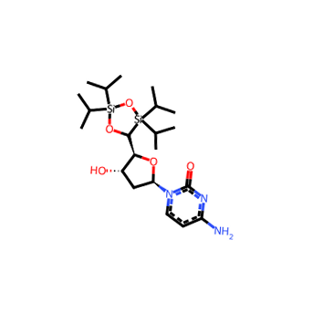 CC(C)[Si]1(C(C)C)OC([C@H]2O[C@@H](n3ccc(N)nc3=O)C[C@@H]2O)[Si](C(C)C)(C(C)C)O1